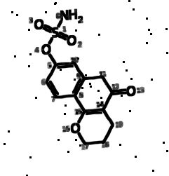 NS(=O)(=O)Oc1ccc2c(c1)CC(=O)C1=C2OCCC1